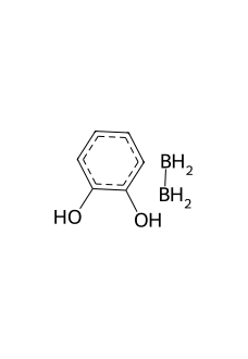 BB.Oc1ccccc1O